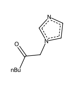 CCCCC(=O)Cn1ccnc1